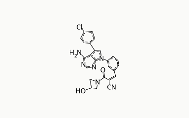 N#CC(=Cc1cccc(-n2cc(-c3ccc(Cl)cc3)c3c(N)ncnc32)c1)C(=O)N1CC(O)C1